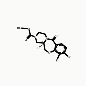 CC(C)(C)OC(=O)N1CCN2C(=O)c3ccc(Br)c(F)c3OC[C@H]2C1